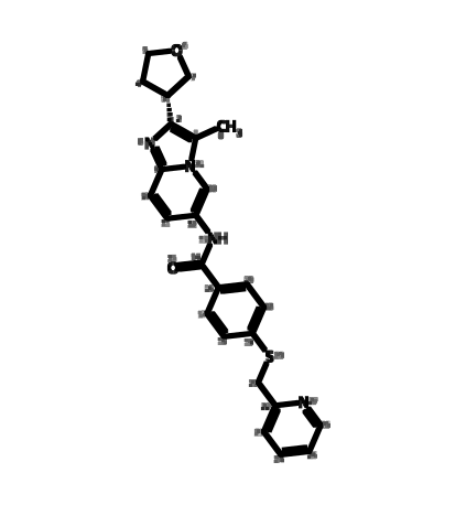 Cc1c([C@@H]2CCOC2)nc2ccc(NC(=O)c3ccc(SCc4ccccn4)cc3)cn12